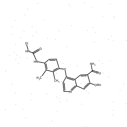 CCNC(=O)Nc1ccc(Oc2ccnc3cc(OC)c(C(N)=O)cc23)c(C)c1C